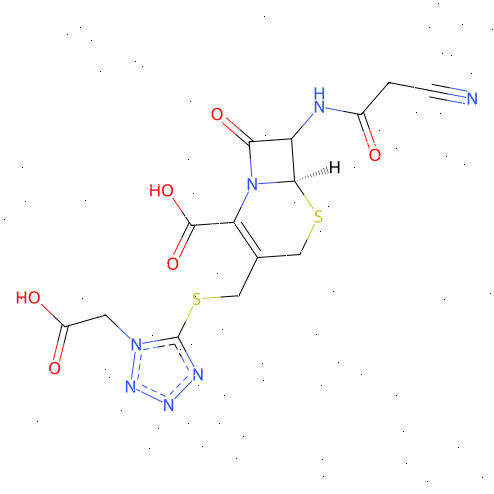 N#CCC(=O)NC1C(=O)N2C(C(=O)O)=C(CSc3nnnn3CC(=O)O)CS[C@H]12